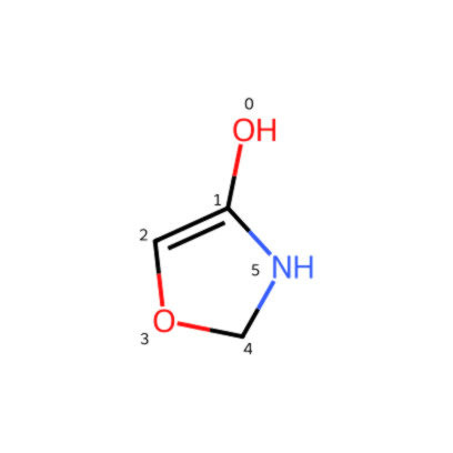 OC1=COCN1